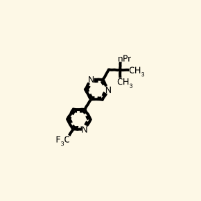 CCCC(C)(C)Cc1ncc(-c2ccc(C(F)(F)F)nc2)cn1